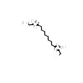 CC(C)Cc1nc(CCCCCCCCc2n[nH]c(CC(C)C)n2)n[nH]1